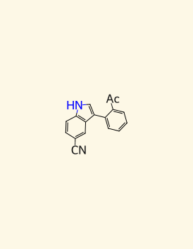 CC(=O)c1ccccc1-c1c[nH]c2ccc(C#N)cc12